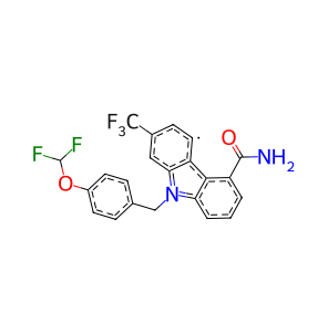 NC(=O)c1cccc2c1c1[c]cc(C(F)(F)F)cc1n2Cc1ccc(OC(F)F)cc1